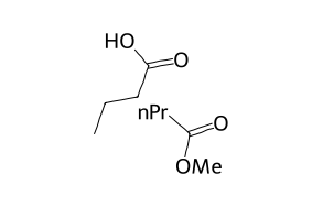 CCCC(=O)O.CCCC(=O)OC